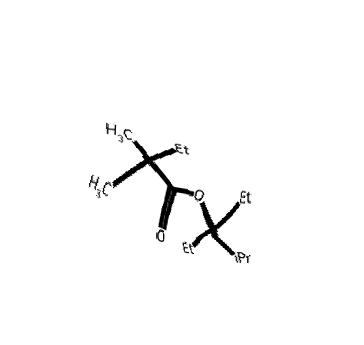 CCC(C)(C)C(=O)OC(CC)(CC)C(C)C